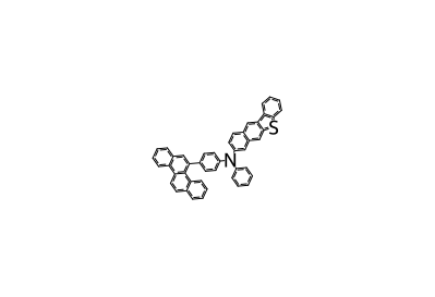 c1ccc(N(c2ccc(-c3cc4ccccc4c4ccc5ccccc5c34)cc2)c2ccc3cc4c(cc3c2)sc2ccccc24)cc1